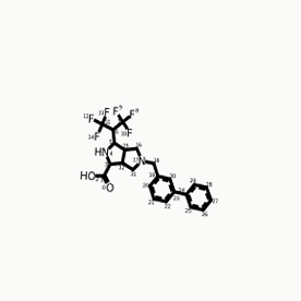 O=C(O)C1NC(C(C(F)(F)F)C(F)(F)F)C2CN(Cc3cccc(-c4ccccc4)c3)CC12